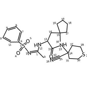 CC(=NS(=O)(=O)c1ccccc1)NC(CC1(C)CCCC1)C(=O)NC1(C#N)CCSCC1